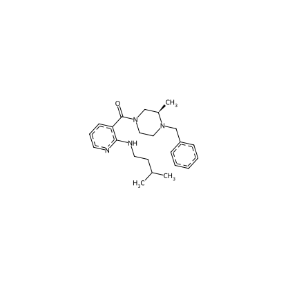 CC(C)CCNc1ncccc1C(=O)N1CCN(Cc2ccccc2)[C@H](C)C1